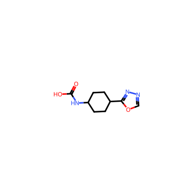 O=C(O)NC1CCC(c2nnco2)CC1